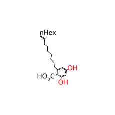 CCCCCC/C=C/CCCCCCCc1cc(O)cc(O)c1C(=O)O